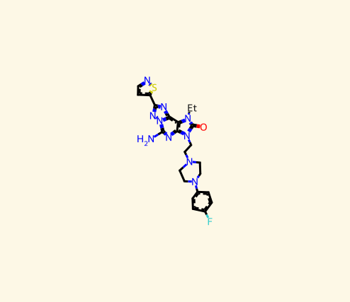 CCn1c(=O)n(CCN2CCN(c3ccc(F)cc3)CC2)c2nc(N)n3nc(-c4ccns4)nc3c21